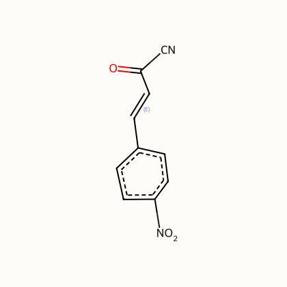 N#CC(=O)/C=C/c1ccc([N+](=O)[O-])cc1